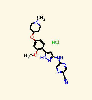 COc1cc(OC2CCN(C)CC2)ccc1-c1cc(Nc2cnc(C#N)cn2)n[nH]1.Cl